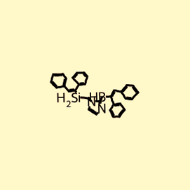 B(C(=Cc1ccccc1)c1ccccc1)c1nccn1C[SiH2]C(=Cc1ccccc1)c1ccccc1